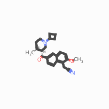 COc1ccc2cc(C(=O)[C@H]3CN(C4CCC4)CC[C@H]3C)ccc2c1CC#N